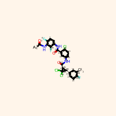 CC(=O)C(=O)Nc1c(F)ccc(NC(=O)c2cc(NC(=O)[C@H]3[C@H](c4ccc(F)c(C(F)(F)F)c4)C3(Cl)Cl)ccc2Cl)c1F